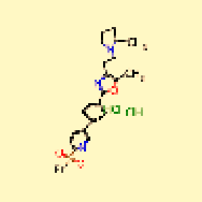 CCS(=O)(=O)c1ccc(-c2ccc(-c3nc(CCN4CCCC4C)c(C)o3)cc2)cn1.Cl.Cl